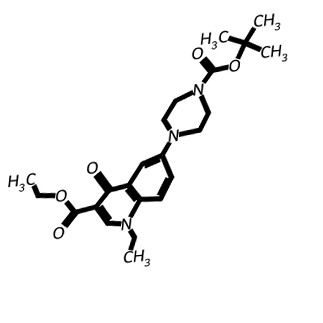 CCOC(=O)c1cn(CC)c2ccc(N3CCN(C(=O)OC(C)(C)C)CC3)cc2c1=O